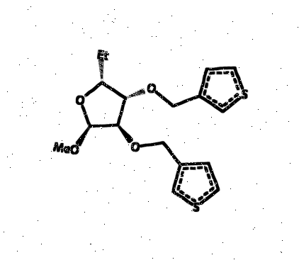 CC[C@H]1O[C@H](OC)[C@H](OCc2ccsc2)[C@H]1OCc1ccsc1